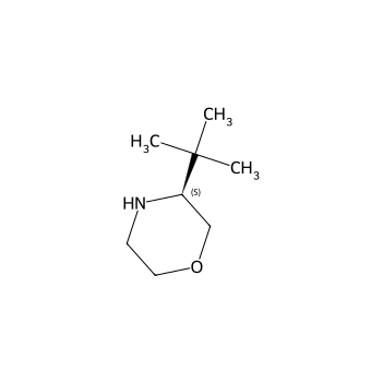 CC(C)(C)[C@H]1COCCN1